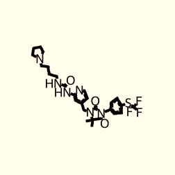 CC1(C)C(=O)N(c2ccc(SC(F)(F)F)cc2)C(=O)N1Cc1ccnc(NC(=O)NCCCCN2CCCC2)c1